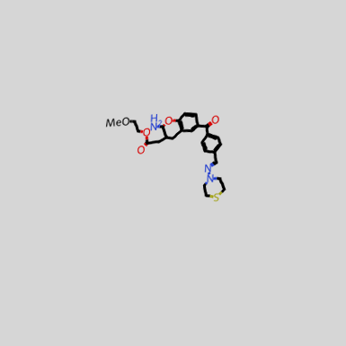 COCCOC(=O)CC1Cc2cc(C(=O)c3ccc(C=NN4CCSCC4)cc3)ccc2OC1N